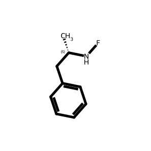 C[C@@H](Cc1ccccc1)NF